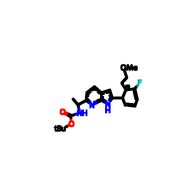 COCC[C@H]1C(F)=CC=CC1c1cc2ccc(C(C)NC(=O)OC(C)(C)C)nc2[nH]1